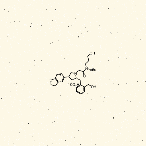 CCCCN(CCCO)C(=O)CN1C[C@H](c2ccc3c(c2)CCO3)[C@@H](C(=O)O)[C@@H]1Cc1ccccc1CO